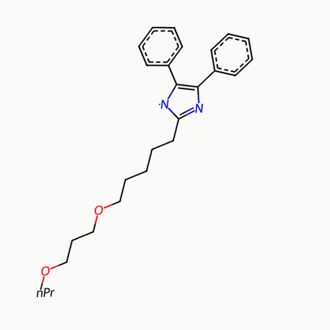 CCCOCCCOCCCCCC1=NC(c2ccccc2)=C(c2ccccc2)[N]1